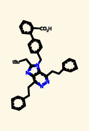 CC(C)(C)Cc1nc2c(CCc3ccccc3)nnc(CCc3ccccc3)c2n1Cc1ccc(-c2ccccc2C(=O)O)cc1